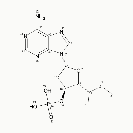 COC(C)[C@H]1O[C@@H](n2cnc3c(N)ncnc32)C[C@@H]1OP(=O)(O)O